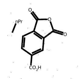 CCCC.O=C(O)c1ccc2c(c1)C(=O)OC2=O